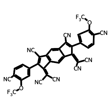 N#CC(C#N)=C1C(c2ccc(C#N)c(OC(F)(F)F)c2)=C(C#N)c2cc3c(cc21)C(=C(C#N)C#N)C(c1ccc(C#N)c(OC(F)(F)F)c1)=C3C#N